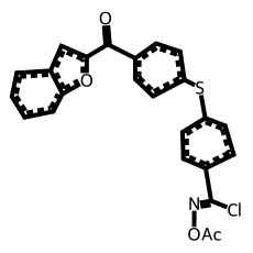 CC(=O)ON=C(Cl)c1ccc(Sc2ccc(C(=O)c3cc4ccccc4o3)cc2)cc1